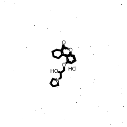 Cl.O=c1oc2cccc(OCC(O)CN3CCCC3)c2c2c1CCCC2